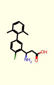 Cc1cccc(C)c1-c1ccc(F)c(C(N)CC(=O)O)c1